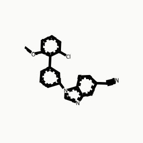 COc1cccc(Cl)c1-c1cccc(-n2cnc3cc(C#N)ccc32)c1